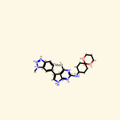 COc1nc(NC2CCC3(CC2)OCCCO3)nc2[nH]cc(-c3ccc4nnn(C)c4c3)c12